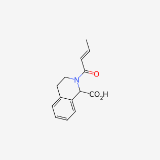 CC=CC(=O)N1CCc2ccccc2C1C(=O)O